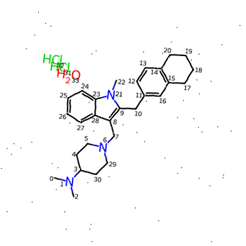 CN(C)C1CCN(Cc2c(Cc3ccc4c(c3)CCCC4)n(C)c3ccccc23)CC1.Cl.Cl.O